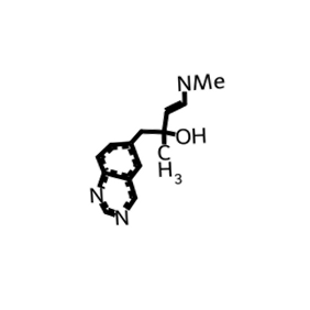 CNC=CC(C)(O)Cc1ccc2ncncc2c1